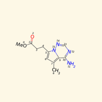 COC(=O)CCc1cc(C)c2c(N)ncnn12